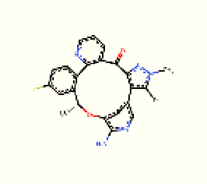 CCc1c2c(nn1C)C(=O)c1cccnc1-c1ccc(F)cc1[C@@H](C)Oc1cc-2cnc1N